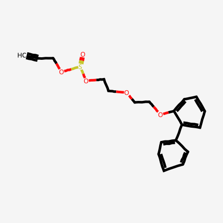 C#CCOS(=O)OCCOCCOc1ccccc1-c1ccccc1